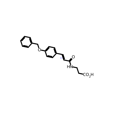 O=C(O)CCNC(=O)/C=C/c1ccc(OCc2ccccc2)cc1